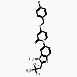 Cn1c(CC(C)(C)C#N)nc2ccc(-n3ccc(OCc4ccc(F)cc4)cc3=O)cc21